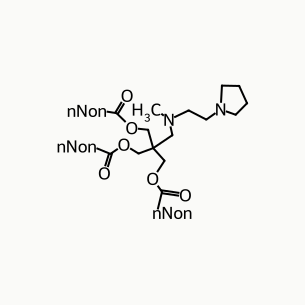 CCCCCCCCCC(=O)OCC(COC(=O)CCCCCCCCC)(COC(=O)CCCCCCCCC)CN(C)CCN1CCCC1